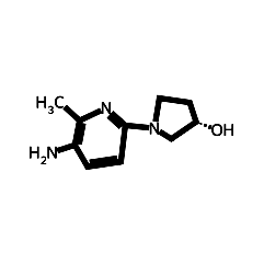 Cc1nc(N2CC[C@H](O)C2)ccc1N